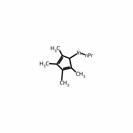 CC[CH2][In][CH]1C(C)=C(C)C(C)=C1C